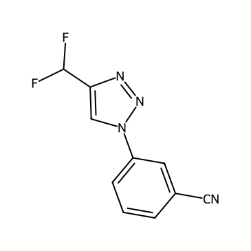 N#Cc1cccc(-n2cc(C(F)F)nn2)c1